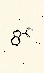 NC(=O)n1ccc2cccnc21